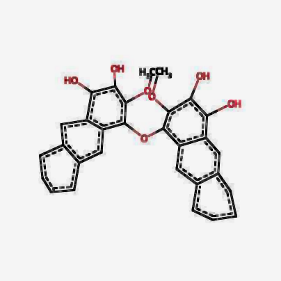 COc1c(O)c(O)c2cc3ccccc3cc2c1Oc1c(OC)c(O)c(O)c2cc3ccccc3cc12